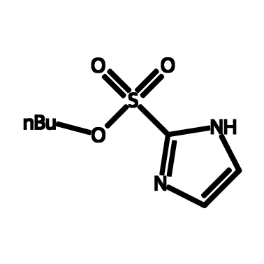 CCCCOS(=O)(=O)c1ncc[nH]1